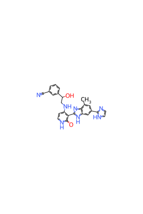 Cc1cc(-c2ncc[nH]2)cc2[nH]c(-c3c(NCC(O)c4cccc(C#N)c4)cc[nH]c3=O)nc12